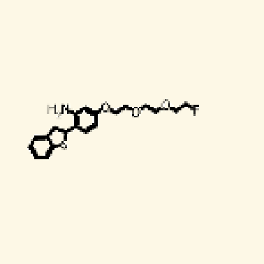 Nc1cc(OCCOCCOCCF)ccc1C1Cc2ccccc2S1